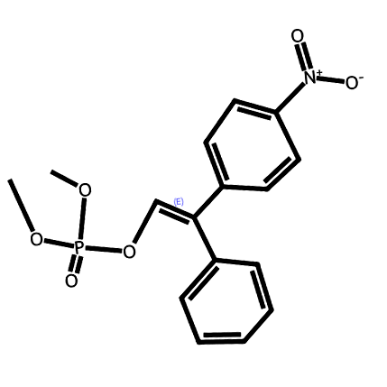 COP(=O)(OC)O/C=C(\c1ccccc1)c1ccc([N+](=O)[O-])cc1